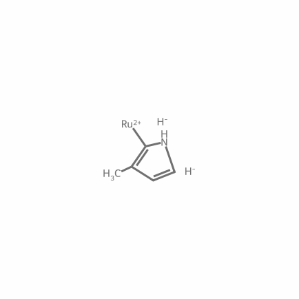 Cc1cc[nH][c]1[Ru+2].[H-].[H-]